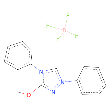 COc1n[n+](-c2ccccc2)cn1-c1ccccc1.F[B-](F)(F)F